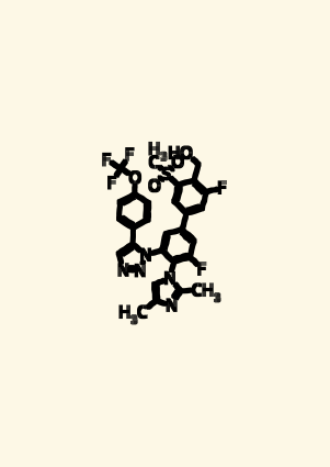 Cc1cn(-c2c(F)cc(-c3cc(F)c(CO)c(S(C)(=O)=O)c3)cc2-n2nncc2-c2ccc(OC(F)(F)F)cc2)c(C)n1